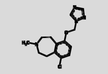 CN1CCc2c(Cl)ccc(OCn3cncn3)c2CC1